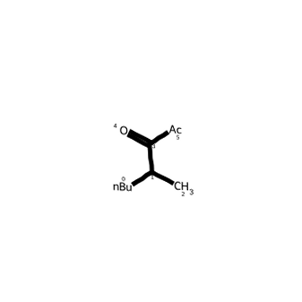 CCCCC(C)C(=O)C(C)=O